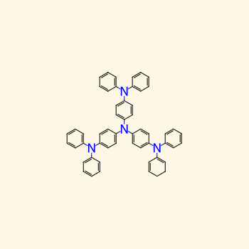 C1=CC(N(c2ccccc2)c2ccc(N(c3ccc(N(c4ccccc4)c4ccccc4)cc3)c3ccc(N(c4ccccc4)c4ccccc4)cc3)cc2)=CCC1